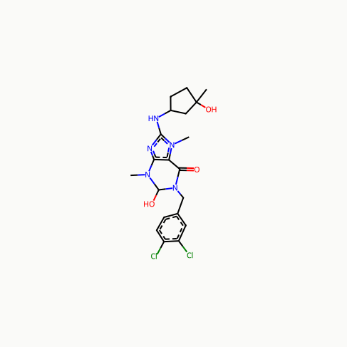 CN1c2nc(NC3CCC(C)(O)C3)n(C)c2C(=O)N(Cc2ccc(Cl)c(Cl)c2)C1O